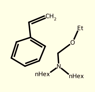 C=Cc1ccccc1.CCCCCCN(CCCCCC)COCC